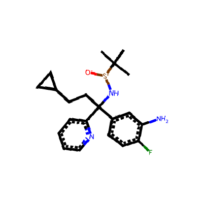 CC(C)(C)[S+]([O-])NC(CCC1CC1)(c1ccc(F)c(N)c1)c1ccccn1